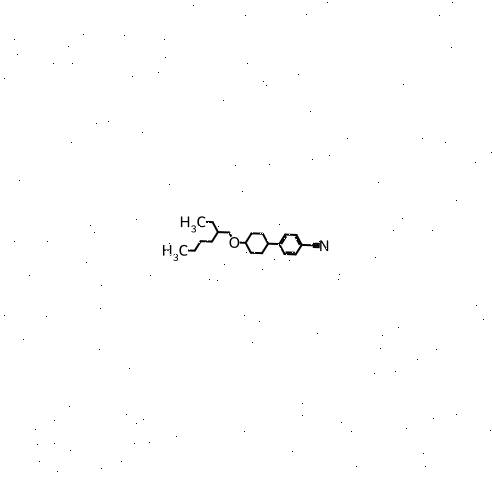 CCCCC(CC)COC1CCC(c2ccc(C#N)cc2)CC1